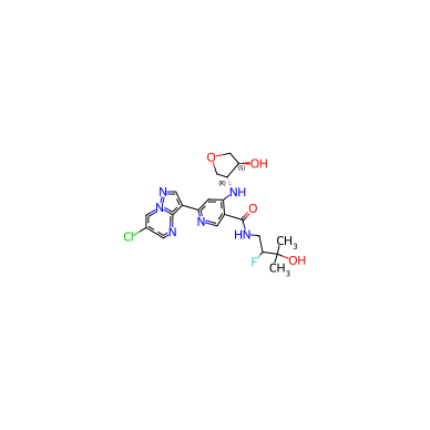 CC(C)(O)C(F)CNC(=O)c1cnc(-c2cnn3cc(Cl)cnc23)cc1N[C@@H]1COC[C@H]1O